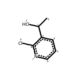 CC(O)c1cccnc1Cl